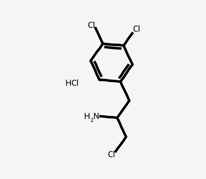 Cl.NC(CCl)Cc1ccc(Cl)c(Cl)c1